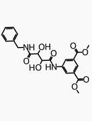 COC(=O)c1cc(NC(=O)C(O)C(O)C(=O)NCc2ccccc2)cc(C(=O)OC)c1